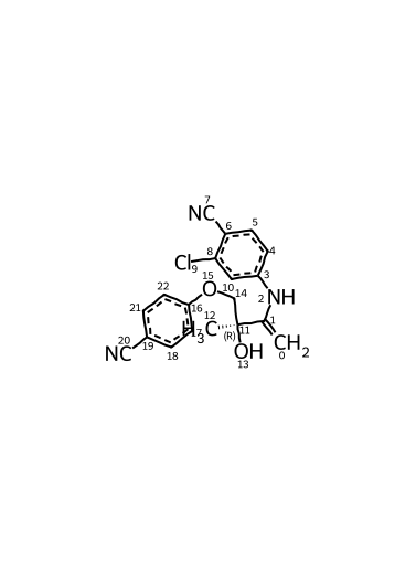 C=C(Nc1ccc(C#N)c(Cl)c1)[C@@](C)(O)COc1ccc(C#N)cc1